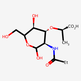 CCC(=O)N[C@H]1C(O)OC(CO)[C@@H](O)[C@@H]1O[C@H](C)C(=O)O